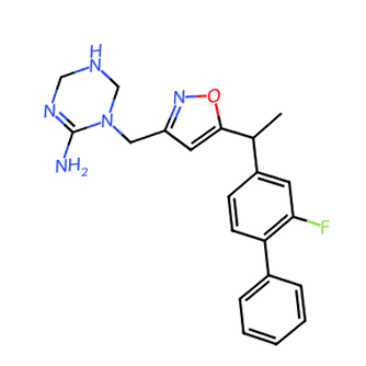 CC(c1ccc(-c2ccccc2)c(F)c1)c1cc(CN2CNCN=C2N)no1